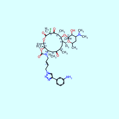 CC[C@H]1OC(=O)[C@@](C)(F)C(=O)[C@H](C)[C@@H](O[C@@H]2OC(C)CC(N(C)C)C2O)[C@](C)(OC)C[C@@H](C)C(=O)[C@H](C)[C@H]2N(C/C=C/Cn3cc(-c4cccc(N)c4)nn3)C(=O)O[C@]12C